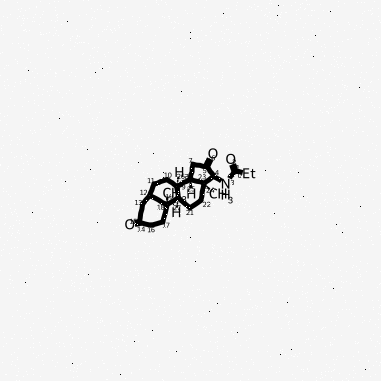 CCC(=O)NC1C(=O)C[C@H]2[C@@H]3CCC4CC(=O)CC[C@]4(C)[C@@H]3CC[C@]12C